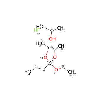 CC(C)O.CCC[Si](OCC)(OCC)OCC.F